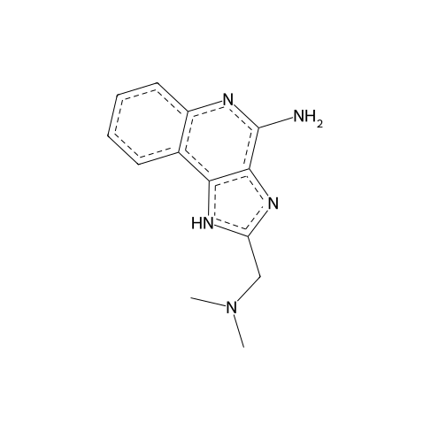 CN(C)Cc1nc2c(N)nc3ccccc3c2[nH]1